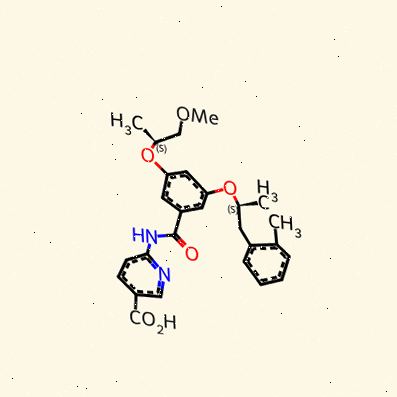 COC[C@H](C)Oc1cc(O[C@@H](C)Cc2ccccc2C)cc(C(=O)Nc2ccc(C(=O)O)cn2)c1